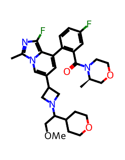 COCC(C1CCOCC1)N1CC(c2cc(-c3ccc(F)cc3C(=O)N3CCOC[C@H]3C)c3c(F)nc(C)n3c2)C1